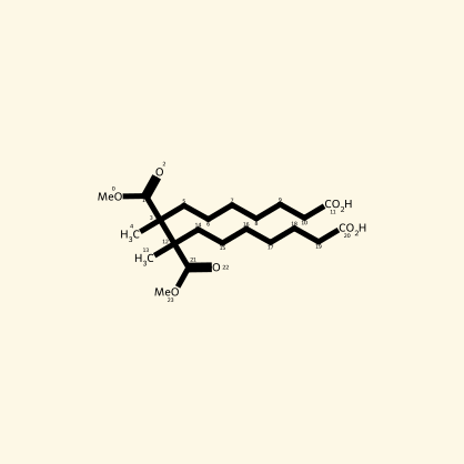 COC(=O)C(C)(CCCCCCC(=O)O)C(C)(CCCCCCC(=O)O)C(=O)OC